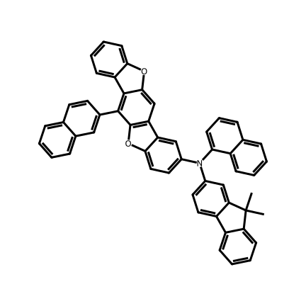 CC1(C)c2ccccc2-c2ccc(N(c3ccc4oc5c(-c6ccc7ccccc7c6)c6c(cc5c4c3)oc3ccccc36)c3cccc4ccccc34)cc21